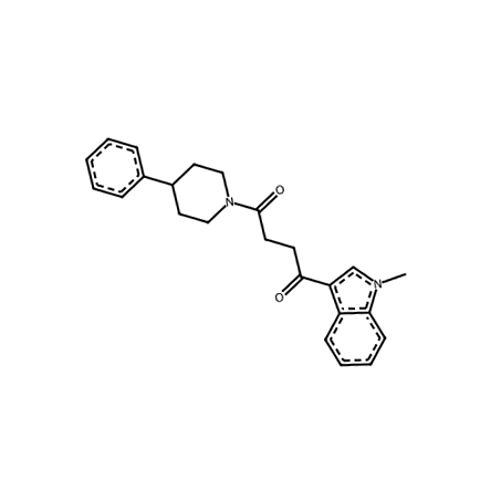 Cn1cc(C(=O)CCC(=O)N2CCC(c3ccccc3)CC2)c2ccccc21